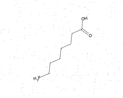 O=C(O)CCCCC[CH]P